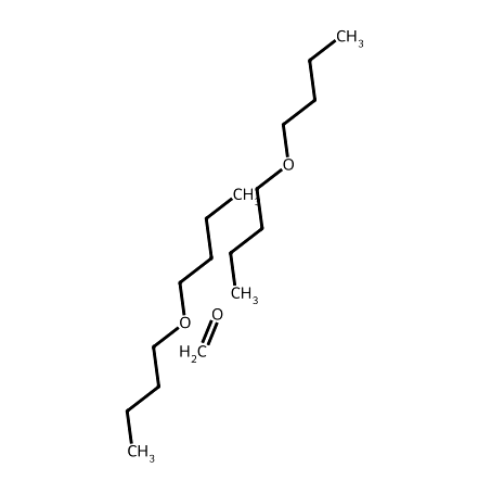 C=O.CCCCOCCCC.CCCCOCCCC